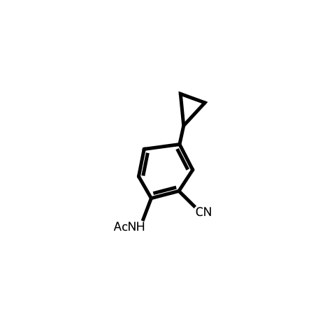 CC(=O)Nc1ccc(C2CC2)cc1C#N